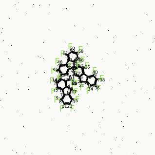 Fc1c(F)c(F)c2c(c1F)-c1c(F)c(F)c(F)[c]([Al-]([F])([c]3c(F)c(F)c(F)c4c3C(F)(F)c3c(F)c(F)c(F)c(F)c3-4)[c]3c(F)c(F)c(F)c4c3C(F)(F)c3c(F)c(F)c(F)c(F)c3-4)c1C2(F)F